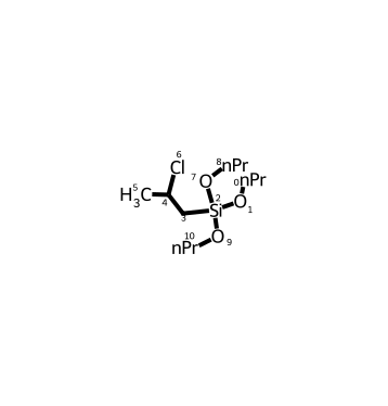 CCCO[Si](CC(C)Cl)(OCCC)OCCC